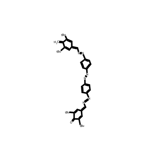 C=c1c(C(C)(C)C)cc(=CN=Nc2ccc(N=Nc3ccc(N=NC=C4C=C(C(C)(C)C)C(=O)C(C(C)(C)C)=C4)cc3)cc2)cc1C(C)(C)C